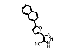 N#Cc1[nH]nnc1-c1ccc(-c2ccc3ccccc3c2)o1